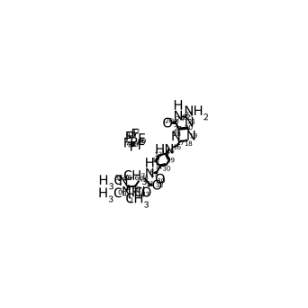 CN(C)C(C(Cl)C[C@H](NC(=O)c1ccc(NCc2cnc3nc(N)[nH]c(=O)c3n2)cc1)C(=O)O)=[N+](C)C.F[P-](F)(F)(F)(F)F